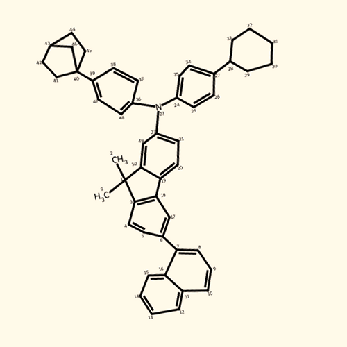 CC1(C)c2ccc(-c3cccc4ccccc34)cc2-c2ccc(N(c3ccc(C4CCCCC4)cc3)c3ccc(C45CCC(CC4)C5)cc3)cc21